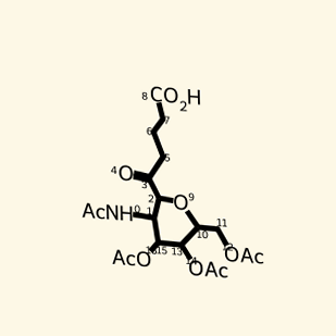 CC(=O)NC1C(C(=O)CCCC(=O)O)OC(COC(C)=O)C(OC(C)=O)C1OC(C)=O